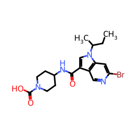 CCC(C)n1cc(C(=O)NC2CCN(C(=O)O)CC2)c2cnc(Br)cc21